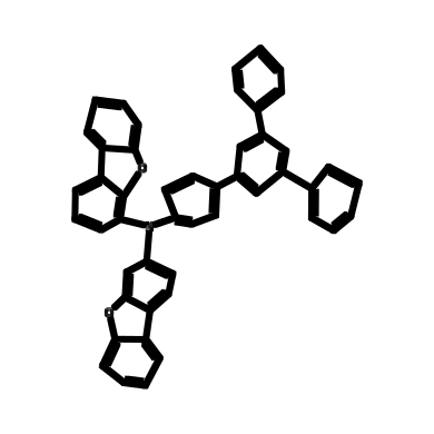 c1ccc(-c2cc(-c3ccccc3)cc(-c3ccc(N(c4ccc5c(c4)oc4ccccc45)c4cccc5c4oc4ccccc45)cc3)c2)cc1